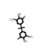 CC(C)(c1cc(F)c(O)c([N+](=O)[O-])c1)c1cc(F)c(O)c([N+](=O)[O-])c1